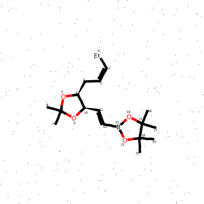 CC/C=C\C[C@@H]1OC(C)(C)O[C@@H]1/C=C/B1OC(C)(C)C(C)(C)O1